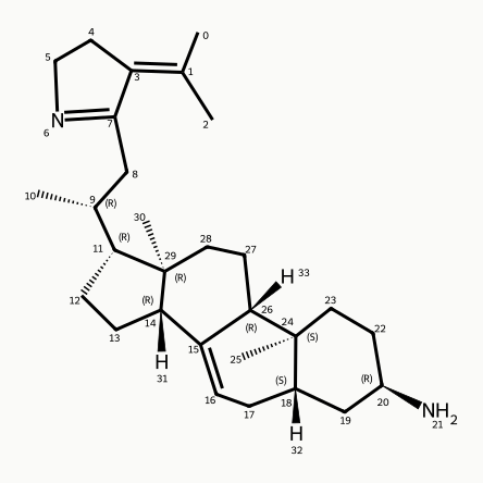 CC(C)=C1CCN=C1C[C@@H](C)[C@H]1CC[C@H]2C3=CC[C@H]4C[C@H](N)CC[C@]4(C)[C@H]3CC[C@]12C